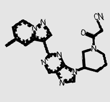 Cc1ccn2ncc(-c3ncc4ncn(C5CCCN(C(=O)CC#N)C5)c4n3)c2c1